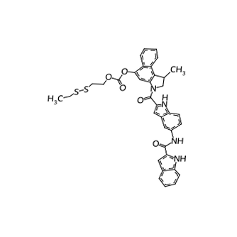 CCSSCCOC(=O)Oc1cc2c(c3ccccc13)C(C)CN2C(=O)c1cc2cc(NC(=O)c3cc4ccccc4[nH]3)ccc2[nH]1